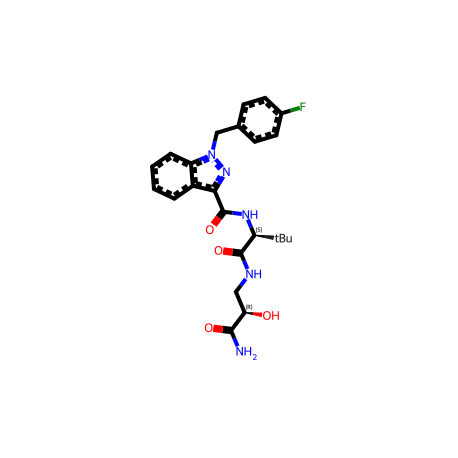 CC(C)(C)[C@H](NC(=O)c1nn(Cc2ccc(F)cc2)c2ccccc12)C(=O)NC[C@@H](O)C(N)=O